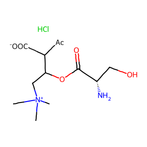 CC(=O)C(C(=O)[O-])C(C[N+](C)(C)C)OC(=O)[C@@H](N)CO.Cl